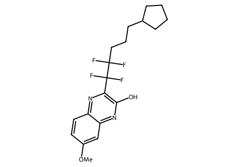 COc1ccc2nc(C(F)(F)C(F)(F)CCCC3CCCC3)c(O)nc2c1